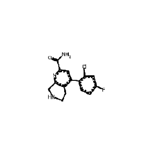 NC(=O)c1cc(-c2ccc(F)cc2Cl)c2c(n1)CNCC2